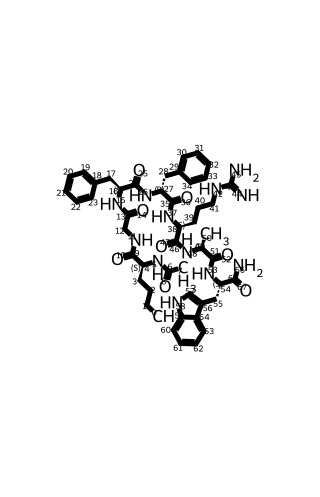 CCCC[C@H](NC(C)=O)C(=O)NCC(=O)N[C@@H](Cc1ccccc1)C(=O)N[C@H](Cc1ccccc1)C(=O)N[C@@H](CCCNC(=N)N)C(=O)N[C@@H](C)C(=O)N[C@@H](Cc1c[nH]c2ccccc12)C(N)=O